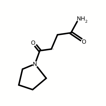 NC(=O)C[CH]C(=O)N1CCCC1